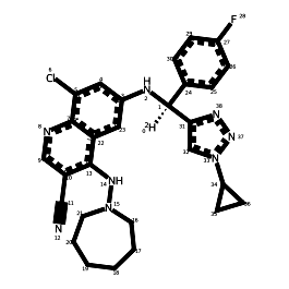 [2H][C@](Nc1cc(Cl)c2ncc(C#N)c(NN3CCCCCC3)c2c1)(c1ccc(F)cc1)c1cn(C2CC2)nn1